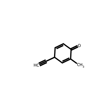 C#CC1C=CC(=O)C(C)=C1